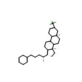 C[C@@H](CC[C@@H](O)C1CCCCC1)[C@@H]1CC[C@H]2[C@@H]3CC[C@H]4C[C@](O)(C(F)(F)F)CC[C@]4(C)[C@H]3CC[C@@]21C